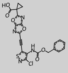 O=C(Nc1c(Cl)nsc1C#Cc1nc2oc(C3(C(=O)O)CC3)nc2o1)OCc1ccccc1